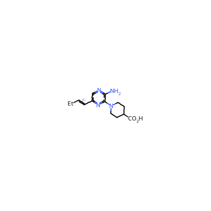 CC/C=C/c1cnc(N)c(N2CCC(C(=O)O)CC2)n1